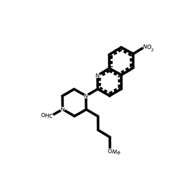 COCCCC1CN(C=O)CCN1c1ccc2cc([N+](=O)[O-])ccc2n1